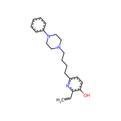 C=Cc1nc(CCCCN2CCN(c3ccccc3)CC2)ccc1O